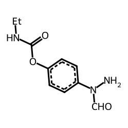 CCNC(=O)Oc1ccc(N(N)C=O)cc1